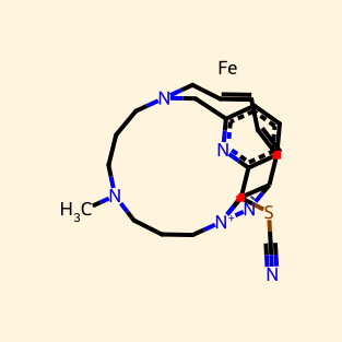 CN1CCCN2C/C=C/C=C/C3=N[N+](CCC1)(C3)C(SC#N)c1cccc(n1)C2.[Fe]